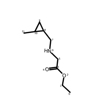 CCOC(=O)CNCC1CC1C